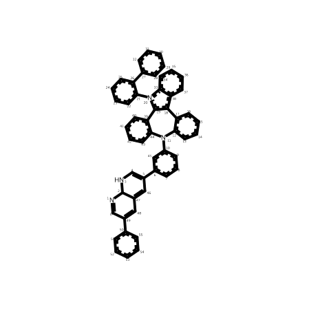 C1=NC2NC=C(c3cccc(N4c5ccccc5-c5c(n(-c6ccccc6-c6ccccc6)c6ccccc56)-c5ccccc54)c3)C=C2C=C1c1ccccc1